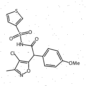 COc1ccc(C(C(=O)NS(=O)(=O)c2ccsc2)c2onc(C)c2Cl)cc1